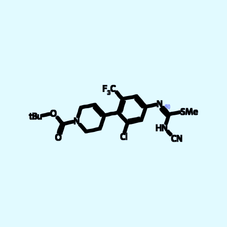 CS/C(=N/c1cc(Cl)c(C2=CCN(C(=O)OC(C)(C)C)CC2)c(C(F)(F)F)c1)NC#N